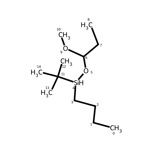 CCCC[SiH](OC(CC)OC)C(C)(C)C